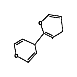 [C]1=C(C2C=COC=C2)OC=CC1